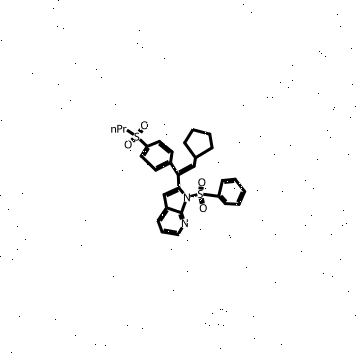 CCCS(=O)(=O)c1ccc(C(=CC2CCCC2)c2cc3cccnc3n2S(=O)(=O)c2ccccc2)cc1